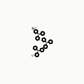 [Cl-].[Cl-].[Ru+2].c1ccc(P(c2ccccc2)c2ccccc2)cc1.c1ccc(P(c2ccccc2)c2ccccc2)cc1.c1ccc(P(c2ccccc2)c2ccccc2)cc1